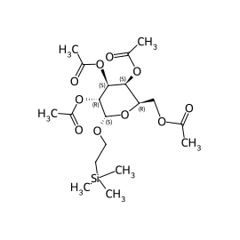 CC(=O)OC[C@H]1O[C@H](OCC[Si](C)(C)C)[C@H](OC(C)=O)[C@@H](OC(C)=O)[C@H]1OC(C)=O